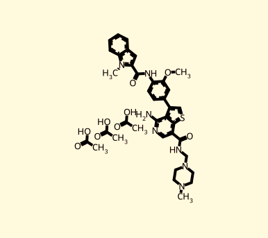 CC(=O)O.CC(=O)O.CC(=O)O.COc1cc(-c2csc3c(C(=O)NCN4CCN(C)CC4)cnc(N)c23)ccc1NC(=O)c1cc2ccccc2n1C